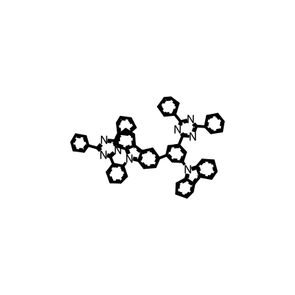 c1ccc(-c2nc(-c3ccccc3)nc(-c3cc(-c4ccc5c(c4)c4ccccc4n5-c4ccccc4-c4nc(-c5ccccc5)nc(-c5ccccc5)n4)cc(-n4c5ccccc5c5ccccc54)c3)n2)cc1